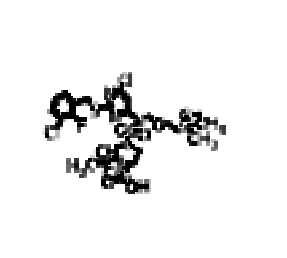 CC(C)(C)C1CN(S(=O)(=O)N(COCC[Si](C)(C)C)c2cc(Cl)nc(SCc3cccc(Cl)c3F)n2)CCN1C(=O)O